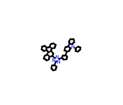 c1ccc(-c2nc(-c3cccc(-c4ccc5c6ccccc6n(-c6ccccc6)c5c4)c3)nc(-c3cc4c5ccccc5c5ccccc5c4c4ccccc34)n2)cc1